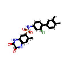 Cc1ccc(-c2ccc(NS(=O)(=O)c3cc4[nH]c(=O)c(=O)[nH]c4cc3C)cc2Cl)cc1C